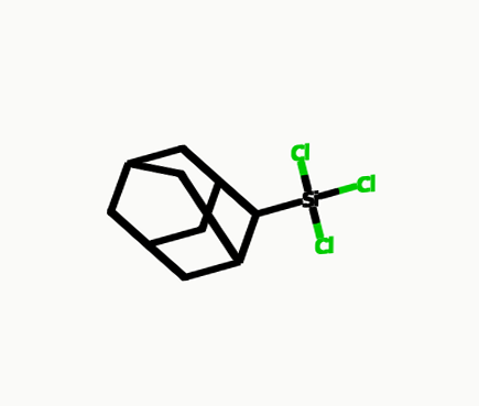 Cl[Si](Cl)(Cl)C1C2CC3CC(C2)CC1C3